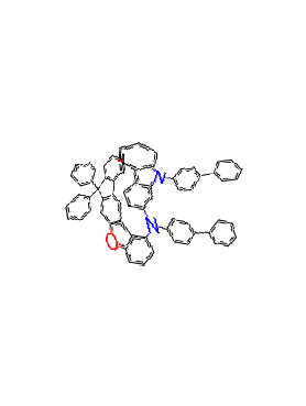 c1ccc(-c2ccc(N(c3ccc4c5ccccc5n(-c5ccc(-c6ccccc6)cc5)c4c3)c3cccc4oc5cc6c(cc5c34)-c3ccccc3C6(c3ccccc3)c3ccccc3)cc2)cc1